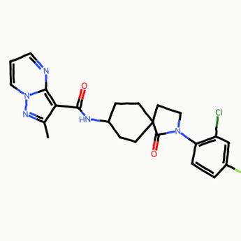 Cc1nn2cccnc2c1C(=O)NC1CCC2(CC1)CCN(c1ccc(F)cc1Cl)C2=O